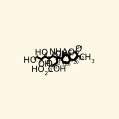 CC(=O)N[C@H]1[C@H]([C@H](O)[C@H](O)CO)O[C@](O)(C(=O)O)C[C@@]1(O)c1ccc2cc(C)c(=O)oc2c1